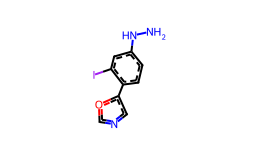 NNc1ccc(-c2cnco2)c(I)c1